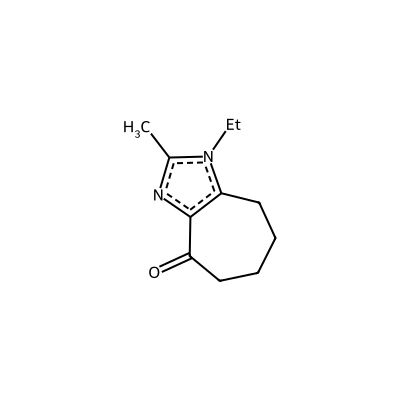 CCn1c(C)nc2c1CCCCC2=O